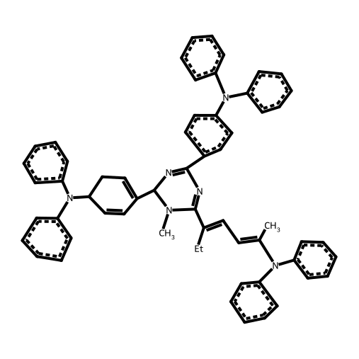 CC/C(=C\C=C(/C)N(c1ccccc1)c1ccccc1)C1=NC(c2ccc(N(c3ccccc3)c3ccccc3)cc2)=NC(C2=CCC(N(c3ccccc3)c3ccccc3)C=C2)N1C